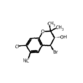 CC1(C)Oc2cc(Cl)c(C#N)cc2[C@H](Br)[C@H]1O